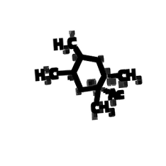 CC(=O)[C@]1(C)CC(C)C(C)C[C@@H]1C